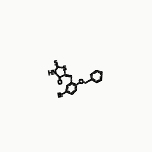 O=C1NC(=S)S/C1=C/c1cc(Br)ccc1OCc1ccccc1